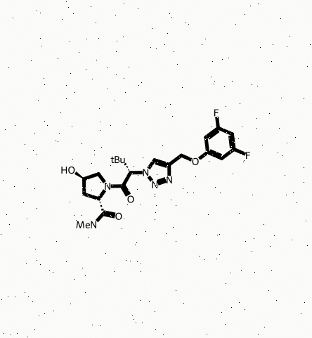 CNC(=O)[C@@H]1C[C@@H](O)CN1C(=O)[C@@H](n1cc(COc2cc(F)cc(F)c2)nn1)C(C)(C)C